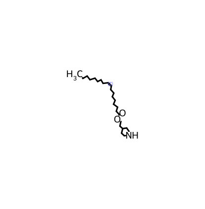 CCCCCCCC/C=C\CCCCCCCC(=O)OCCC1CCNCC1